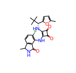 Cc1ccc([C@H](Nc2c(Nc3c(F)ccc4c3C(=O)NC4C)c(=O)c2=O)C(C)(C)C)o1